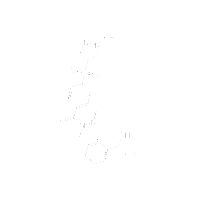 C[C@@H](O)c1cccc(Cn2ncc3cc(S(=O)(=O)c4cnn(C)c4)ccc3c2=O)n1